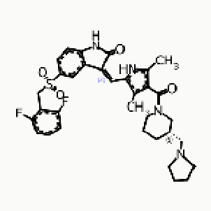 Cc1[nH]c(/C=C2\C(=O)Nc3ccc(S(=O)(=O)Cc4c(F)cccc4F)cc32)c(C)c1C(=O)N1CCC[C@@H](CN2CCCC2)C1